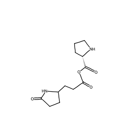 O=C1CCC(CCC(=O)OC(=O)[C@@H]2CCCN2)N1